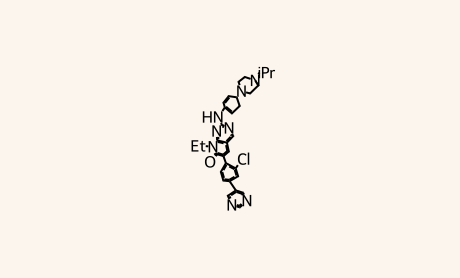 CCn1c(=O)c(-c2ccc(-c3cncnc3)cc2Cl)cc2cnc(NC3=CCC(N4CCN(C(C)C)CC4)C=C3)nc21